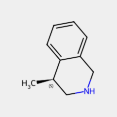 C[C@@H]1CNCc2ccccc21